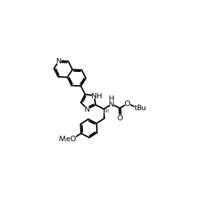 COc1ccc(C[C@H](NC(=O)OC(C)(C)C)c2ncc(-c3ccc4cnccc4c3)[nH]2)cc1